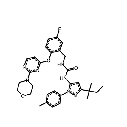 CCC(C)(C)c1cc(NC(=O)NCc2cc(F)ccc2Oc2ccnc(N3CCOCC3)n2)n(-c2ccc(C)cc2)n1